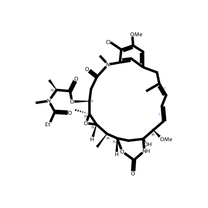 CCC(=O)N(C)[C@@H](C)C(=O)O[C@H]1CC(=O)N(C)c2cc(cc(OC)c2Cl)C/C(C)=C/C=C/[C@@H](OC)C2(O)C[C@H](OC(=O)N2)[C@@H](C)[C@@H]2O[C@@]12C